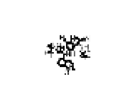 Cn1ccc2c([C@H](Nc3cc(C#N)c4ncc(C#N)c(NCC(C)(C)C(F)(F)F)c4c3)c3cn(C4(C(F)F)CC4)nn3)cccc2c1=O